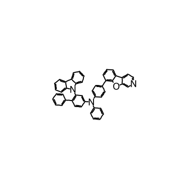 c1ccc(-c2ccc(N(c3ccccc3)c3ccc(-c4cccc5c4oc4cnccc45)cc3)cc2-n2c3ccccc3c3ccccc32)cc1